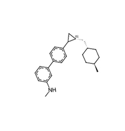 CNc1cccc(-c2ccc(C3C[C@@H]3C[C@H]3CC[C@H](C)CC3)cc2)c1